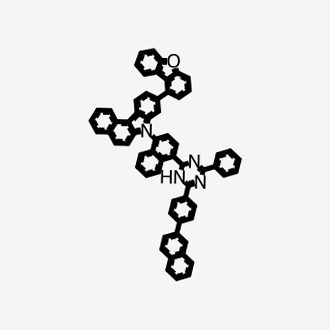 c1ccc(C2=NC(c3ccc(-n4c5cc(-c6cccc7oc8ccccc8c67)ccc5c5c6ccccc6ccc54)c4ccccc34)NC(c3ccc(-c4ccc5ccccc5c4)cc3)=N2)cc1